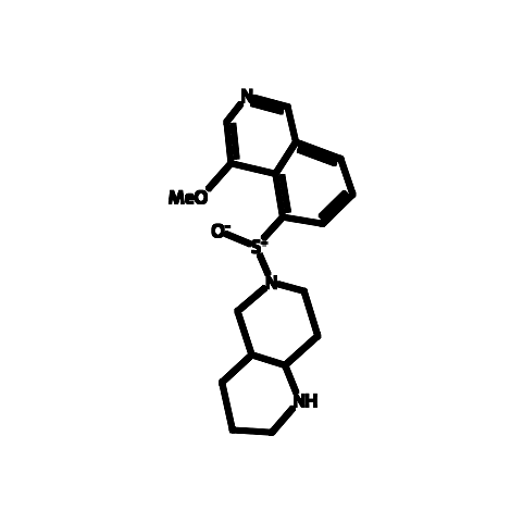 COc1cncc2cccc([S+]([O-])N3CCC4NCCCC4C3)c12